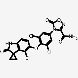 NC(=O)c1noc(=O)n1-c1cc(Cl)c(Oc2ccc3c(c2Cl)C2(CC2)C(=O)N3)c(Cl)c1